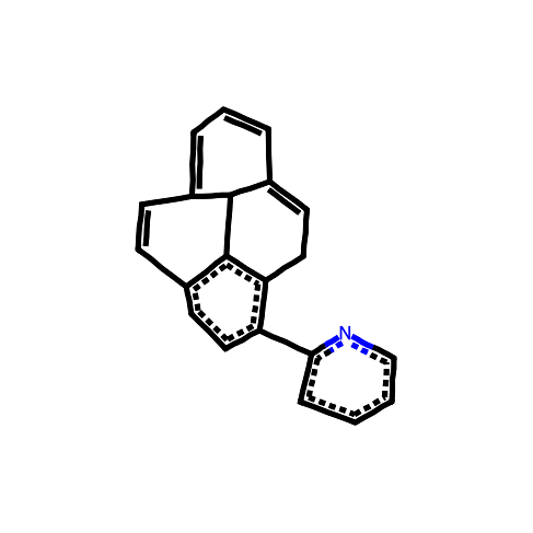 C1=CC2=CCc3c(-c4ccccn4)ccc4c3C2C(=C1)C=C4